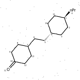 CCC[C@H]1CC[C@H](CCC2CCC(=O)CC2)CC1